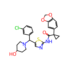 O=C(Nc1ncc(C(c2cccc(Cl)c2)N2CCC(O)CC2)s1)C1(c2ccc3c(c2)OCO3)CC1